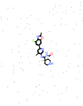 Cc1nc2c(F)cc(-c3cc(C)c(/N=C(\NC=O)C4(F)CCNCC4)cn3)cc2o1